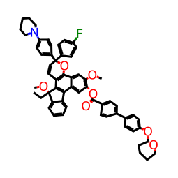 CCC1(OC)c2ccccc2-c2c1c1c(c3cc(OC)c(OC(=O)c4ccc(-c5ccc(OC6CCCCO6)cc5)cc4)cc23)OC(c2ccc(F)cc2)(c2ccc(N3CCCCC3)cc2)C=C1